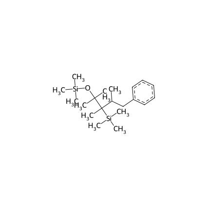 CC(Cc1ccccc1)C(C)(C(C)(C)O[Si](C)(C)C)[Si](C)(C)C